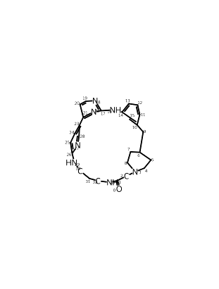 O=C1CN2CCC(CC2)Cc2cccc(c2)Nc2nccc(n2)-c2ccc(nc2)NCCCN1